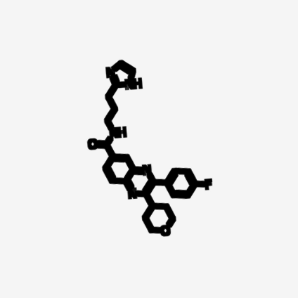 O=C(NCCCc1ncc[nH]1)c1ccc2nc(C3CCOCC3)c(-c3ccc(F)cc3)nc2c1